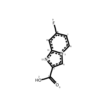 O=C(O)c1cn2ccc(F)cc2n1